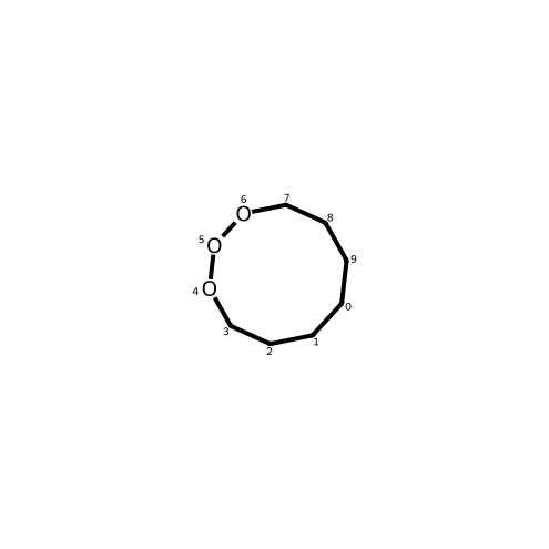 C1CCCOOOCCC1